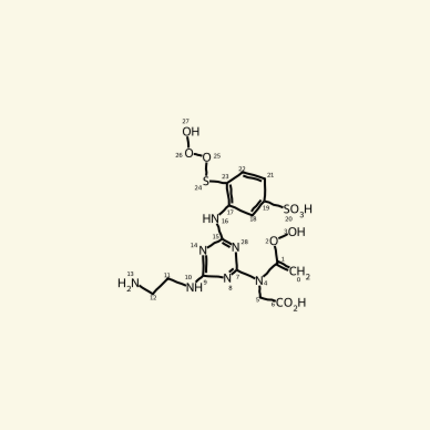 C=C(OO)N(CC(=O)O)c1nc(NCCN)nc(Nc2cc(S(=O)(=O)O)ccc2SOOO)n1